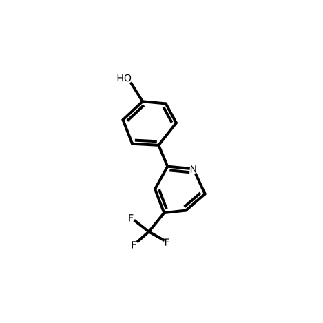 Oc1ccc(-c2cc(C(F)(F)F)ccn2)cc1